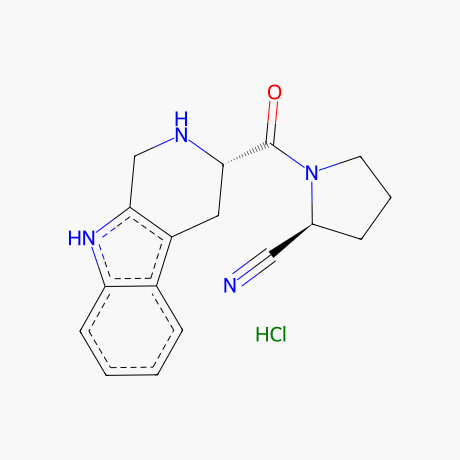 Cl.N#C[C@@H]1CCCN1C(=O)[C@@H]1Cc2c([nH]c3ccccc23)CN1